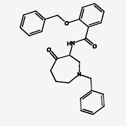 O=C(NC1CN(Cc2ccccc2)CCCC1=O)c1ccccc1OCc1ccccc1